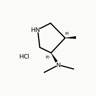 C[C@@H]1CNC[C@@H]1N(C)C.Cl